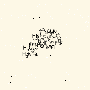 C[C@@H](Cn1c(=O)cc(Nc2ccc(Oc3ccc(OC(F)F)cn3)cc2)n(Cc2ccc(Cl)cc2)c1=O)C(N)=O